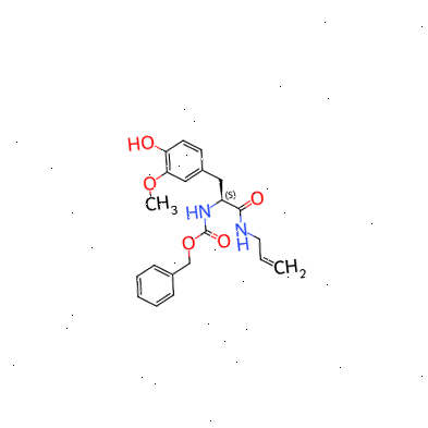 C=CCNC(=O)[C@H](Cc1ccc(O)c(OC)c1)NC(=O)OCc1ccccc1